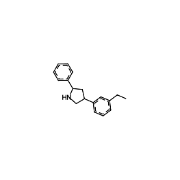 CCc1cccc(C2CNC(c3ccccc3)C2)c1